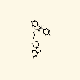 CN(CCCN1CCC2(CC1)OCc1cc(F)ncc12)C(=O)C(O)(c1ccc(F)cc1)c1ccc(F)cc1